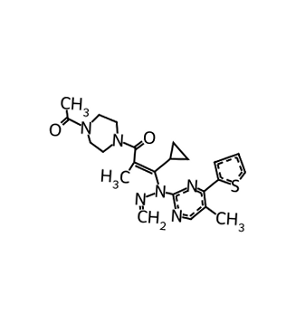 C=NN(/C(=C(\C)C(=O)N1CCN(C(C)=O)CC1)C1CC1)c1ncc(C)c(-c2cccs2)n1